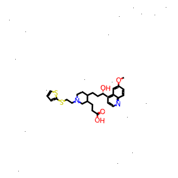 COc1ccc2nccc([C@@H](O)CCC3CCN(CCSc4cccs4)CC3CCC(=O)O)c2c1